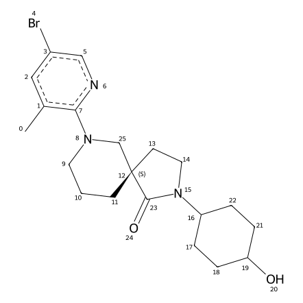 Cc1cc(Br)cnc1N1CCC[C@]2(CCN(C3CCC(O)CC3)C2=O)C1